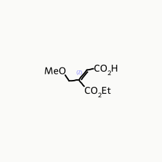 CCOC(=O)/C(=C\C(=O)O)COC